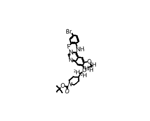 [2H]C([2H])([2H])Oc1cc2c(Nc3ccc(Br)cc3F)ncnc2cc1OC([2H])([2H])C1CCN(C(=O)OC(C)(C)C)CC1